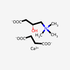 C[N+](C)(C)C[C@H](O)CC(=O)[O-].O=C([O-])CCC(=O)[O-].[Ca+2]